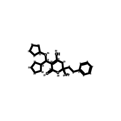 CCCC1(CCc2ccccc2)CC(O)=C(C(OC2CCCC2)C2CCCC2)C(=O)O1